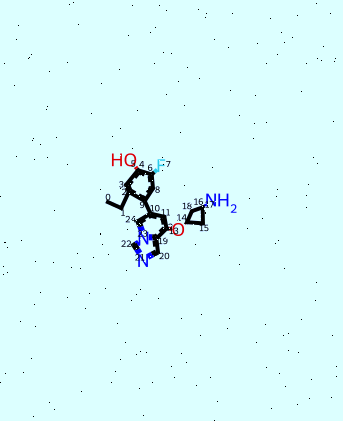 CCc1cc(O)c(F)cc1-c1cc(O[C@H]2C[C@@H](N)C2)c2cncn2c1